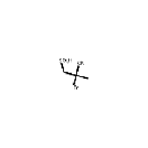 CC(C)C(C)(C#N)CS(=O)(=O)O